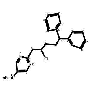 CCCCCc1cnc(CC(Cl)CCC(c2ccccc2)c2ccccc2)nc1